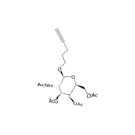 C#CCCCO[C@H]1O[C@@H](COC(C)=O)[C@@H](OC(C)=O)[C@@H](OC(C)=O)[C@@H]1NC(C)=O